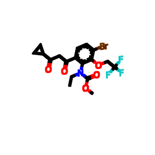 CCN(C(=O)OC)c1c(C(=O)CC(=O)C2CC2)ccc(Br)c1OCC(F)(F)F